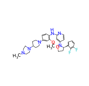 COc1cc(N2CCC(N3CCN(C)CC3)CC2)ccc1Nc1cc(N2OCC[C@@H]2c2cccc(F)c2F)ccn1